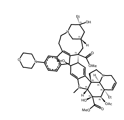 CC[C@]1(O)C[C@H]2CN(CCC3=C(Cc4ccc(N5CCOCC5)cc43)[C@@](C(=O)OC)(C3C=C4C(=CC3OC)N(C)[C@H]3[C@@](O)(C(=O)OC)[C@H](OC(C)=O)[C@]5(CC)C=CCN6CC[C@]43[C@@H]65)C2)C1